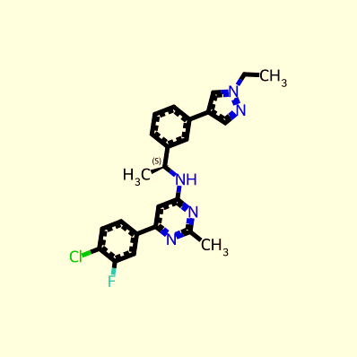 CCn1cc(-c2cccc([C@H](C)Nc3cc(-c4ccc(Cl)c(F)c4)nc(C)n3)c2)cn1